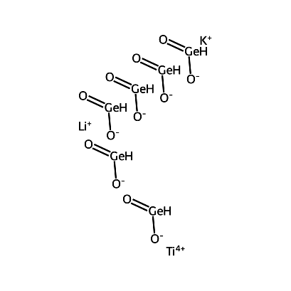 [K+].[Li+].[O]=[GeH][O-].[O]=[GeH][O-].[O]=[GeH][O-].[O]=[GeH][O-].[O]=[GeH][O-].[O]=[GeH][O-].[Ti+4]